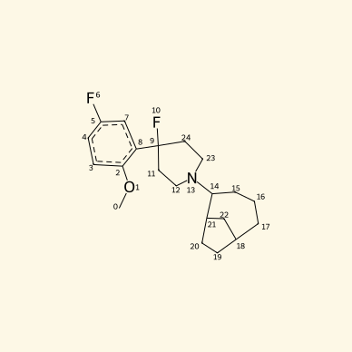 COc1ccc(F)cc1C1(F)CCN(C2CCCC3CCC2C3)CC1